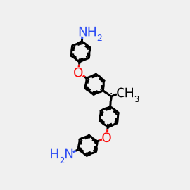 C[C](c1ccc(Oc2ccc(N)cc2)cc1)c1ccc(Oc2ccc(N)cc2)cc1